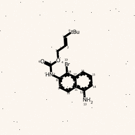 CC(C)(C)C=CCOC(=O)Nc1ccc2c(N)cccc2c1Br